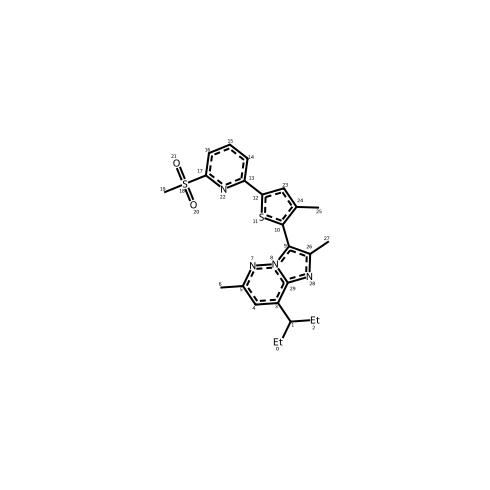 CCC(CC)c1cc(C)nn2c(-c3sc(-c4cccc(S(C)(=O)=O)n4)cc3C)c(C)nc12